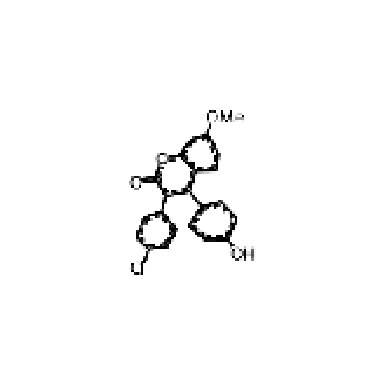 COc1ccc2c(-c3ccc(O)cc3)c(-c3ccc(Cl)cc3)c(=O)oc2c1